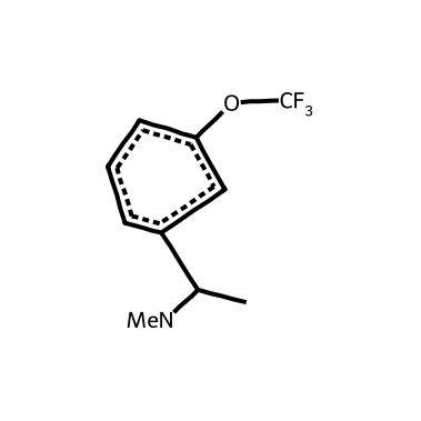 CNC(C)c1cccc(OC(F)(F)F)c1